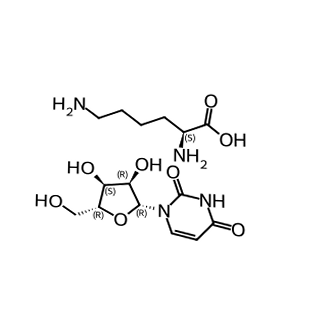 NCCCC[C@H](N)C(=O)O.O=c1ccn([C@@H]2O[C@H](CO)[C@@H](O)[C@H]2O)c(=O)[nH]1